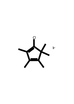 CC1=C(C)C(C)(C)C(Cl)=C1C.[Ir]